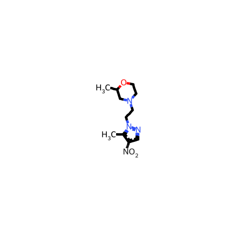 Cc1c([N+](=O)[O-])cnn1CCN1CCOC(C)C1